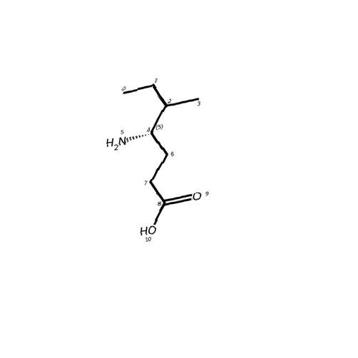 CCC(C)[C@@H](N)CCC(=O)O